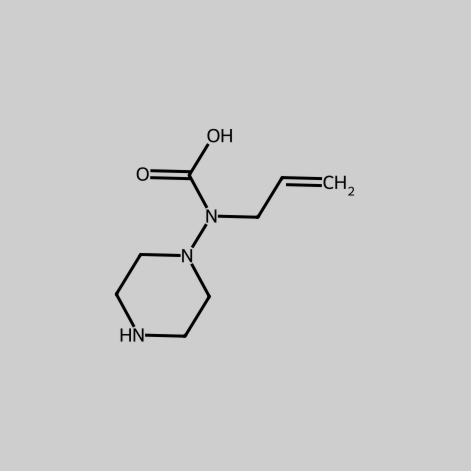 C=CCN(C(=O)O)N1CCNCC1